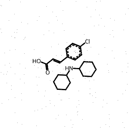 C1CCC(NC2CCCCC2)CC1.O=C(O)C=Cc1ccc(Cl)cc1